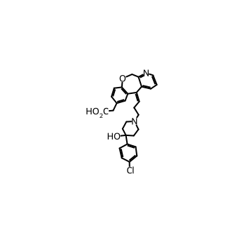 O=C(O)Cc1ccc2c(c1)C(=CCCN1CCC(O)(c3ccc(Cl)cc3)CC1)c1cccnc1CO2